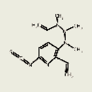 C=Cc1nc(N=C=S)ccc1N(C)N(C)N(C)C=C